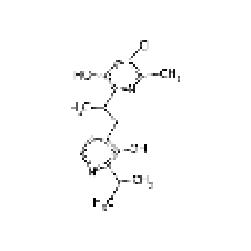 Cc1nc(C(C)Cc2ccnc(C(C)C)c2O)c(O)cc1Cl